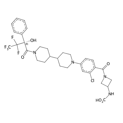 O=C(O)NC1CN(C(=O)c2ccc(N3CCC(C4CCN(C(=O)[C@](O)(c5ccccc5)C(F)(F)C(F)(F)F)CC4)CC3)cc2Cl)C1